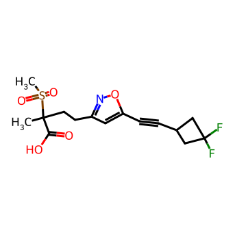 CC(CCc1cc(C#CC2CC(F)(F)C2)on1)(C(=O)O)S(C)(=O)=O